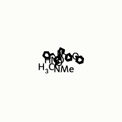 CN[C@@H](C)C(=O)N[C@@H](CC1CCCCC1)C(=O)N1CCC[C@H]1c1cccc(Oc2ccccc2)c1